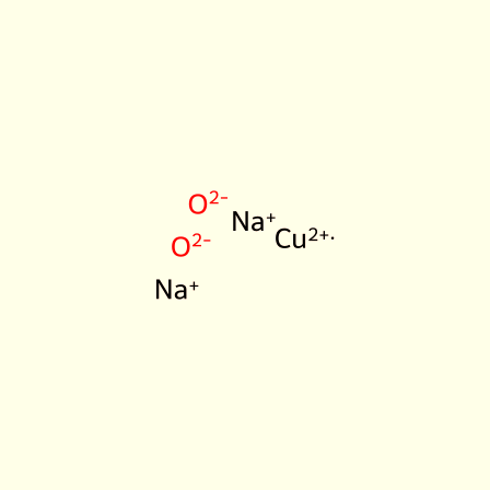 [Cu+2].[Na+].[Na+].[O-2].[O-2]